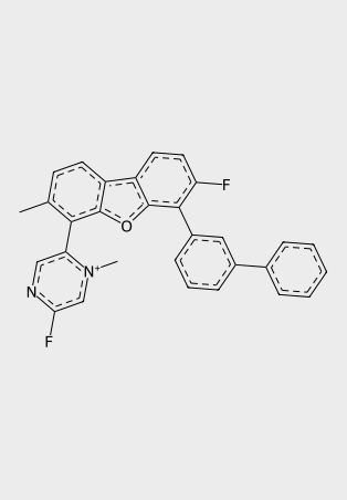 Cc1ccc2c(oc3c(-c4cccc(-c5ccccc5)c4)c(F)ccc32)c1-c1cnc(F)c[n+]1C